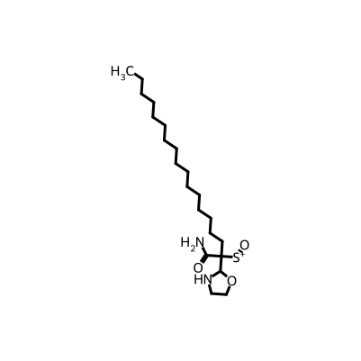 CCCCCCCCCCCCCCCCC([S+]=O)(C(N)=O)C1NCCO1